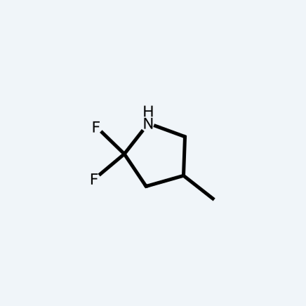 CC1CNC(F)(F)C1